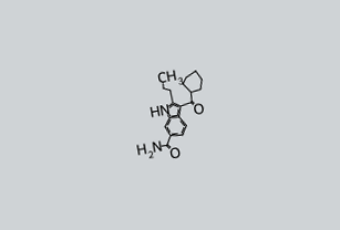 CCCc1[nH]c2cc(C(N)=O)ccc2c1C(=O)C1CCCCC1